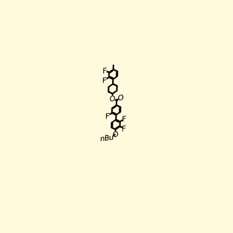 CCCCOc1ccc(-c2ccc(C(=O)OC3CCC(c4ccc(C)c(F)c4F)CC3)cc2F)c(F)c1F